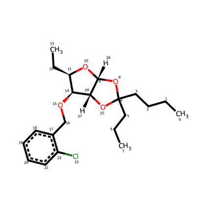 CCCCC1(CCC)O[C@H]2O[C@H](CC)[C@H](OCc3ccccc3Cl)[C@H]2O1